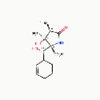 CCCCCC[C@H]1C(=O)N[C@](C(=O)O)([C@@H](O)C2C=CCCC2)[C@@]1(C)O